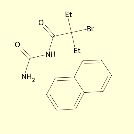 CCC(Br)(CC)C(=O)NC(N)=O.c1ccc2ccccc2c1